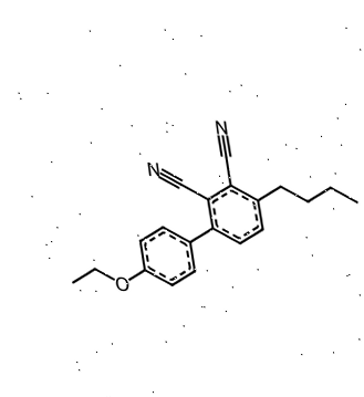 CCCCc1ccc(-c2ccc(OCC)cc2)c(C#N)c1C#N